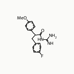 COc1ccc(C(Cc2ccc(F)cc2)C(=O)NC(=N)N)cc1